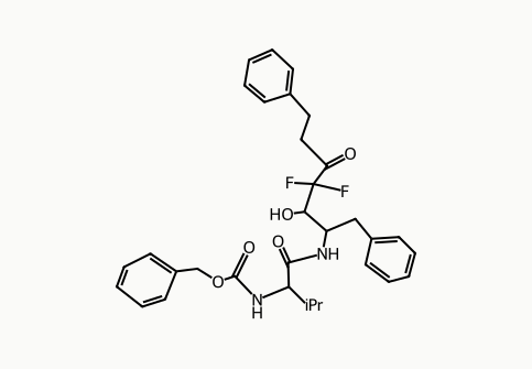 CC(C)C(NC(=O)OCc1ccccc1)C(=O)NC(Cc1ccccc1)C(O)C(F)(F)C(=O)CCc1ccccc1